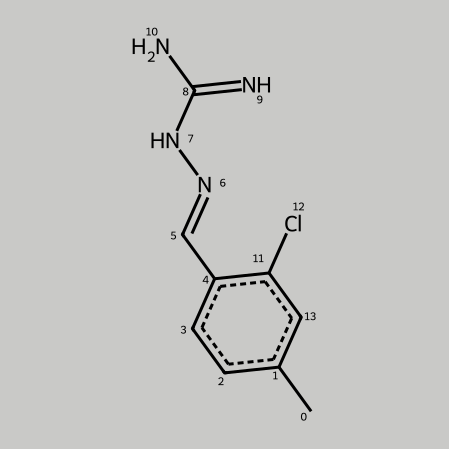 Cc1ccc(C=NNC(=N)N)c(Cl)c1